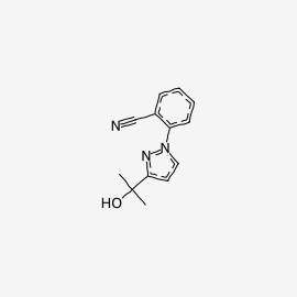 CC(C)(O)c1ccn(-c2ccccc2C#N)n1